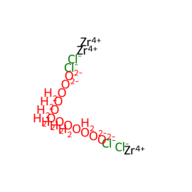 O.O.O.O.O.O.O.O.[Cl-].[Cl-].[Cl-].[Cl-].[O-2].[O-2].[O-2].[O-2].[Zr+4].[Zr+4].[Zr+4]